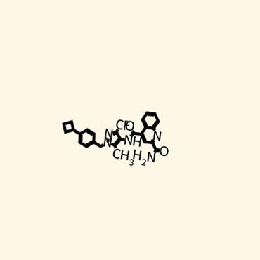 Cc1c(NC(=O)c2cc(C(N)=O)nc3ccccc23)c(C(F)(F)F)nn1Cc1ccc(C2CCC2)cc1